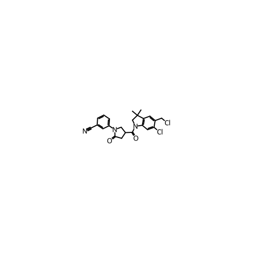 CC1(C)CN(C(=O)C2CC(=O)N(c3cccc(C#N)c3)C2)c2cc(Cl)c(CCl)cc21